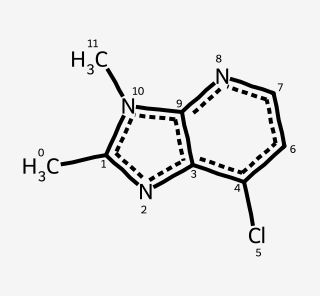 Cc1nc2c(Cl)ccnc2n1C